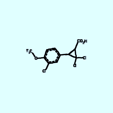 O=C(O)C1C(c2ccc(OC(F)(F)F)c(Cl)c2)C1(Cl)Cl